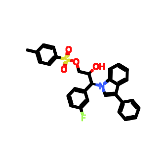 Cc1ccc(S(=O)(=O)OC[C@@H](O)[C@H](c2cccc(F)c2)n2cc(-c3ccccc3)c3ccccc32)cc1